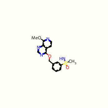 COc1nccc2c(OCc3cccc(S(C)(=N)=O)c3)ncnc12